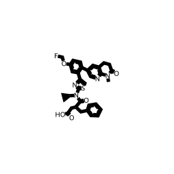 CN1C(=O)CCc2cc(-c3ccc(OCF)cc3-c3csc(N(C(=O)C(CC(=O)O)Cc4ccccc4)C4CC4)n3)cnc21